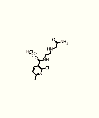 Cc1ccc(C(=O)NCCNCC(N)=O)c(Cl)n1.Cl.O